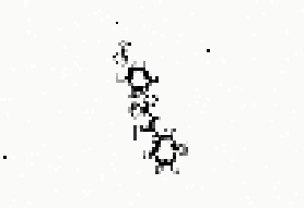 COc1ccc(OC(=O)C=C(F)c2ccccc2)cc1